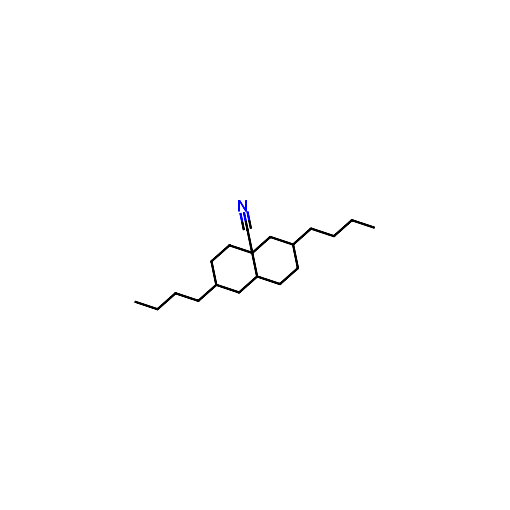 CCCCC1CCC2(C#N)CC(CCCC)CCC2C1